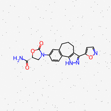 NC(=O)[C@H]1CN(c2ccc3c(c2)CCCc2c(-c4ccno4)n[nH]c2-3)C(=O)O1